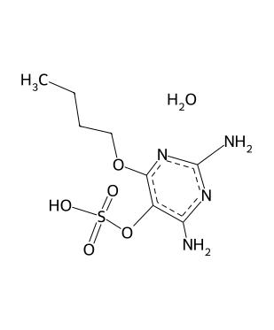 CCCCOc1nc(N)nc(N)c1OS(=O)(=O)O.O